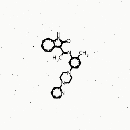 C/C(=N\c1cc(N2CCN(c3ccccn3)CC2)ccc1C)c1c2cccccc-2[nH]c1=O